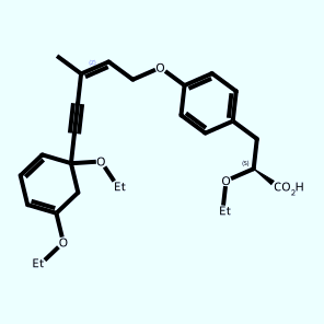 CCOC1=CC=CC(C#C/C(C)=C\COc2ccc(C[C@H](OCC)C(=O)O)cc2)(OCC)C1